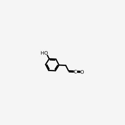 O=C=CCc1cccc(O)c1